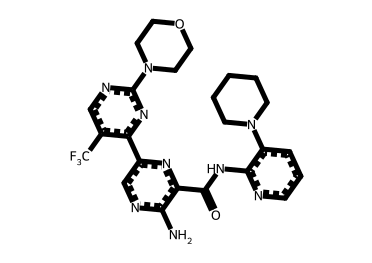 Nc1ncc(-c2nc(N3CCOCC3)ncc2C(F)(F)F)nc1C(=O)Nc1ncccc1N1CCCCC1